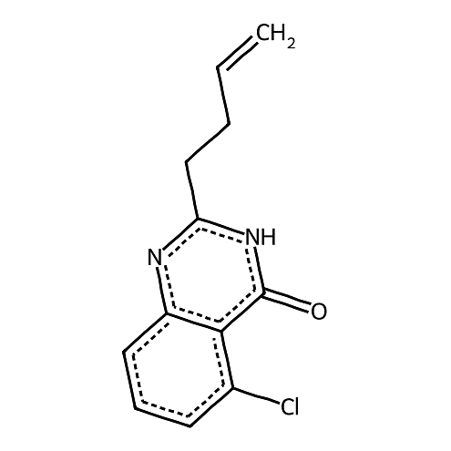 C=CCCc1nc2cccc(Cl)c2c(=O)[nH]1